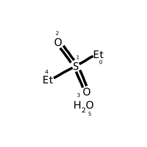 CCS(=O)(=O)CC.O